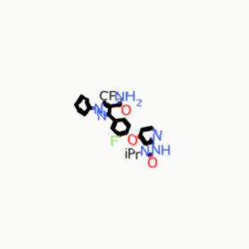 CC(C)n1c(=O)[nH]c2nccc(Oc3ccc(-c4nn(-c5ccccc5)c(C(F)(F)F)c4C(N)=O)cc3F)c21